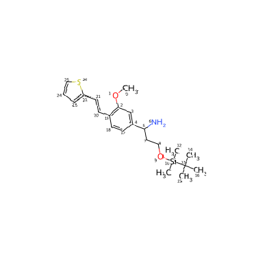 COc1cc(C(N)CCO[Si](C)(C)C(C)(C)C)ccc1/C=C/c1cccs1